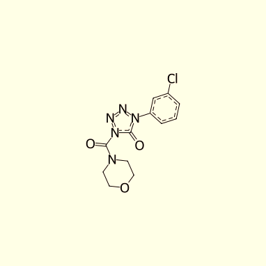 O=C(N1CCOCC1)n1nnn(-c2cccc(Cl)c2)c1=O